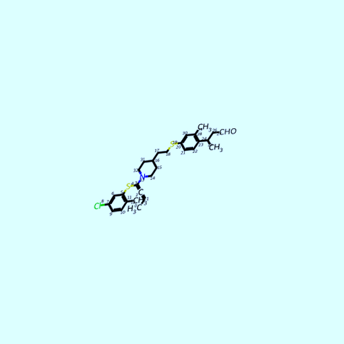 CC=C=C(Sc1cc(Cl)ccc1C)N1CCC(CCSc2ccc(C(C)CC=O)c(C)c2)CC1